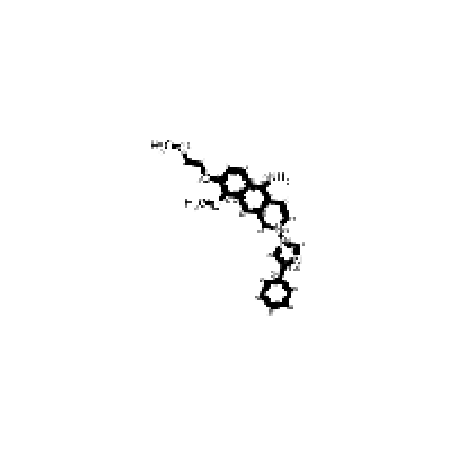 COCCOc1ccc2c(N)c3c(cc2c1OC)CN(n1cnc(-c2ccccc2)c1)C=C3